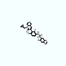 O=c1c(-c2c(F)ccc(NS(=O)(=O)c3cc4scnc4cc3F)c2F)cc2cnccc2n1CC1CC1